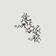 COc1ccc(CN2C3CC2CN(c2ccc(-c4cc(C(=O)C5(NC(=O)OC(C)(C)C)CC5)cn5ncc(C#N)c45)cn2)C3)cn1